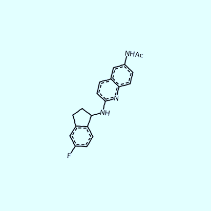 CC(=O)Nc1ccc2nc(NC3CCc4cc(F)ccc43)ccc2c1